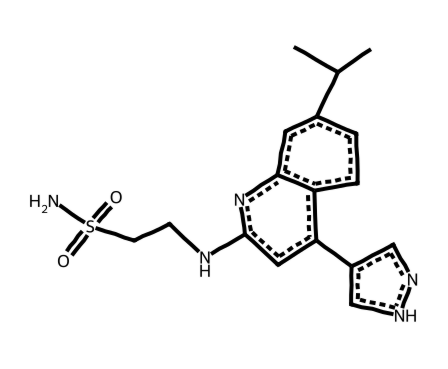 CC(C)c1ccc2c(-c3cn[nH]c3)cc(NCCS(N)(=O)=O)nc2c1